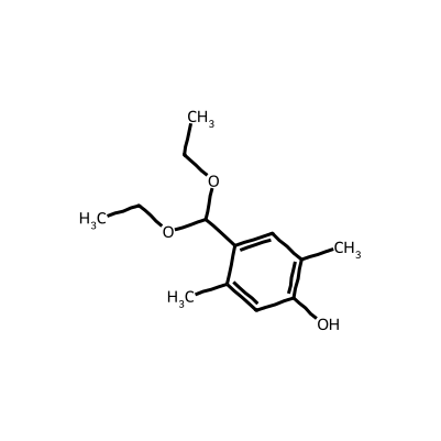 CCOC(OCC)c1cc(C)c(O)cc1C